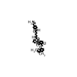 Cc1cc(C)c2cccc(OCc3c(Cl)ccc(S(=O)(=O)N4CCC[C@H]4C(=O)NCCCC(=O)Nc4ccc(C=NN)cc4)c3Cl)c2n1